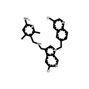 Cc1cc(N)nc(C)c1CNCc1cn(Cc2ccc3ncc(Cl)cc3c2)c2cnc(Cl)cc12